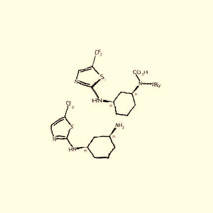 CC(C)(C)N(C(=O)O)[C@H]1CCC[C@@H](Nc2ncc(C(F)(F)F)s2)C1.N[C@H]1CCC[C@@H](Nc2ncc(C(F)(F)F)s2)C1